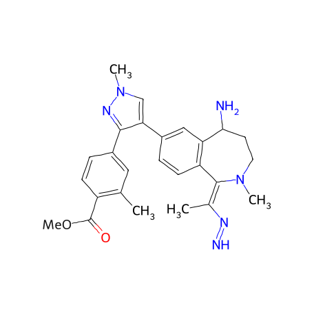 COC(=O)c1ccc(-c2nn(C)cc2-c2ccc3c(c2)C(N)CCN(C)/C3=C(/C)N=N)cc1C